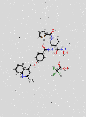 Cc1cc(COc2ccc(C(=O)N[C@@H]3CN(C(=O)c4cccs4)CC[C@@H]3C(=O)NO)cc2)c2ccccc2n1.O=C(O)C(F)(F)F